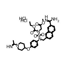 CCOC(=O)N(CC(=O)OC)S(=O)(=O)N(Cc1ccc2ccc(C(=N)N)cc2c1)c1ccc(OC2CCN(C(C)=N)CC2)cc1.Cl.Cl